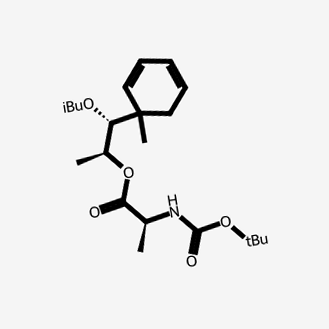 CC(C)CO[C@@H]([C@H](C)OC(=O)[C@H](C)NC(=O)OC(C)(C)C)C1(C)C=CC=CC1